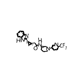 O=C(C[C@H]1C[C@H]1c1nc2ccccc2[nH]1)N[C@@H]1CCCN(c2ccc(C(F)(F)F)nc2)C1